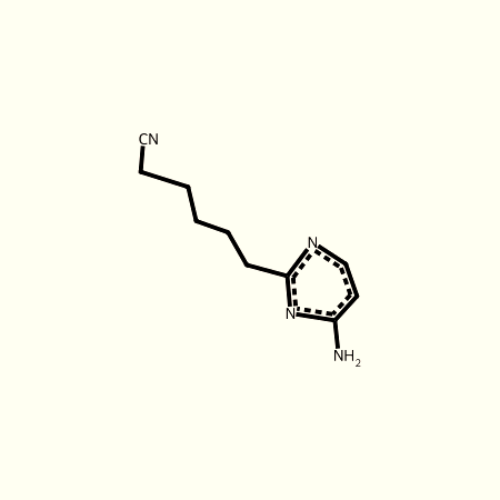 N#CCCCCCc1nccc(N)n1